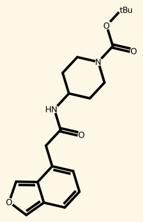 CC(C)(C)OC(=O)N1CCC(NC(=O)Cc2cccc3cocc23)CC1